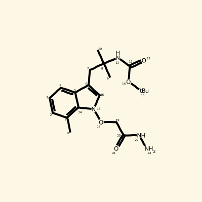 Cc1cccc2c(CC(C)(C)NC(=O)OC(C)(C)C)cn(OCC(=O)NN)c12